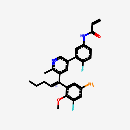 C=CC(=O)Nc1ccc(F)c(-c2cnc(C)c(/C(=C\CCC)c3cc(P)cc(F)c3OC)c2)c1